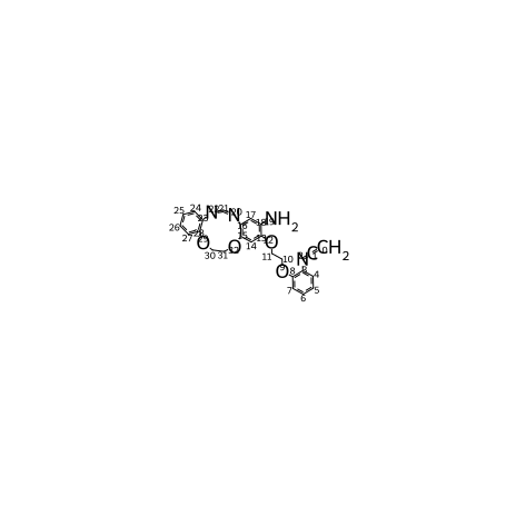 C=C=Nc1ccccc1OCCOc1cc2c(cc1N)N=C=Nc1ccccc1OCCO2